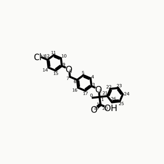 CC(Oc1ccc(COc2ccc(Cl)cc2)cc1)(C(=O)O)c1ccccc1